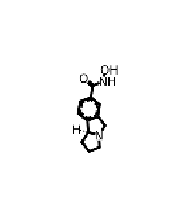 O=C(NO)c1ccc2c(c1)CN1CCC[C@@H]21